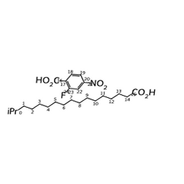 CC(C)CCCCCCCCCCCCCCC(=O)O.O=C(O)c1ccc([N+](=O)[O-])cc1F